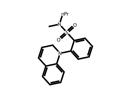 CCCN(C)S(=O)(=O)c1ccccc1N1CC=Cc2ccccc21